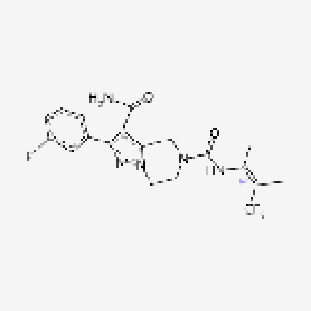 C/C(NC(=O)N1CCn2nc(-c3cccc(F)c3)c(C(N)=O)c2C1)=C(\C)C(F)(F)F